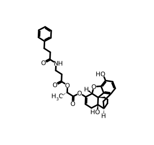 C[C@H](OC(=O)CCNC(=O)CCc1ccccc1)C(=O)OC1=CC[C@@]2(O)[C@@H]3CCC[C@@]24c2c(ccc(O)c2O[C@@H]14)C3